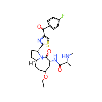 CCO[C@@H]1CC[C@H]2CC[C@@H](c3nc(C(=O)c4ccc(F)cc4)cs3)N2C(=O)[C@@H](NC(=O)[C@H](C)NC)C1